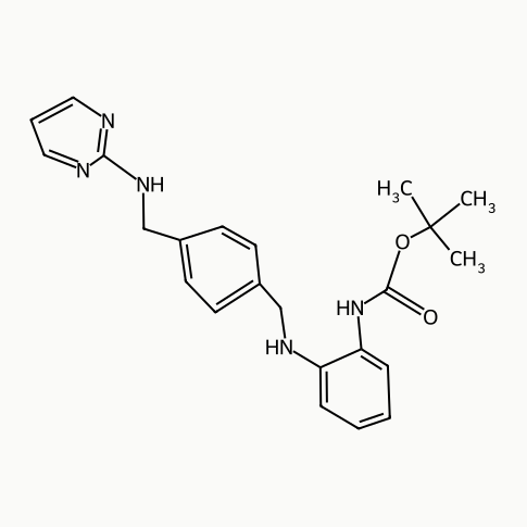 CC(C)(C)OC(=O)Nc1ccccc1NCc1ccc(CNc2ncccn2)cc1